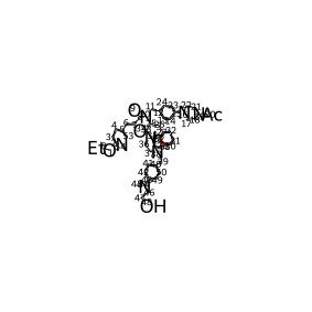 CCOc1ccc(C=CC(=O)N(Cc2ccc(N3CCN(C(C)=O)CC3)cc2)C(Cc2ccccc2)C(=O)N2CCN(Cc3ccc(N(C)CCO)cc3)CC2)cn1